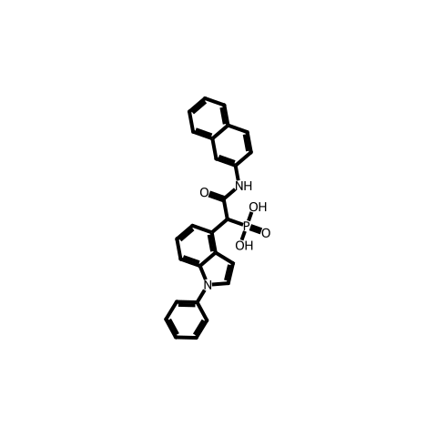 O=C(Nc1ccc2ccccc2c1)C(c1cccc2c1ccn2-c1ccccc1)P(=O)(O)O